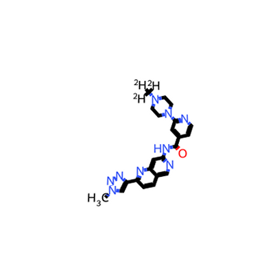 [2H]C([2H])([2H])N1CCN(c2cc(C(=O)Nc3cc4nc(-c5cn(C)nn5)ccc4cn3)ccn2)CC1